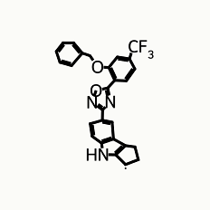 FC(F)(F)c1ccc(-c2nc(-c3ccc4[nH]c5c(c4c3)CC[CH]5)no2)c(OCc2ccccc2)c1